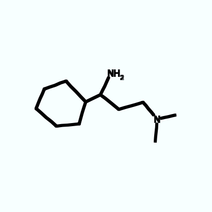 CN(C)CCC(N)C1CCCCC1